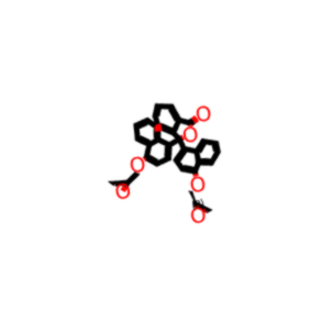 O=C1OC(c2ccc(OCC3CO3)c3ccccc23)(c2ccc(OC[C@H]3CO3)c3ccccc23)c2ccccc21